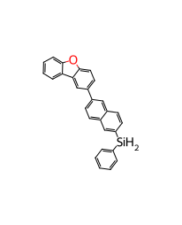 c1ccc([SiH2]c2ccc3cc(-c4ccc5oc6ccccc6c5c4)ccc3c2)cc1